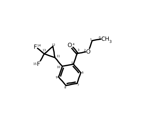 CCOC(=O)c1ccccc1C1CC1(F)F